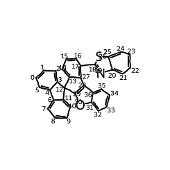 c1ccc2c(c1)-c1ccccc1C21c2cccc(-c3nc4ccccc4s3)c2-c2c1oc1ccccc21